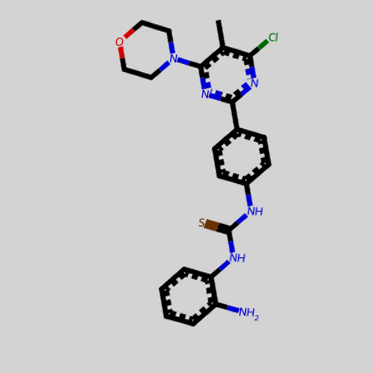 Cc1c(Cl)nc(-c2ccc(NC(=S)Nc3ccccc3N)cc2)nc1N1CCOCC1